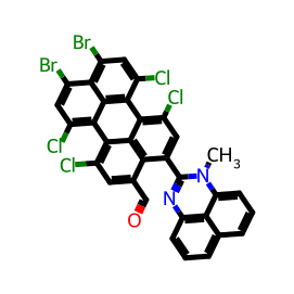 CN1C(c2cc(Cl)c3c4c(Cl)cc(Br)c5c(Br)cc(Cl)c(c6c(Cl)cc(C=O)c2c63)c54)=Nc2cccc3cccc1c23